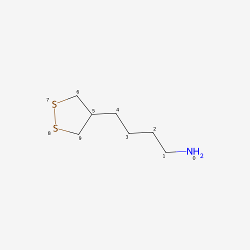 NCCCCC1CSSC1